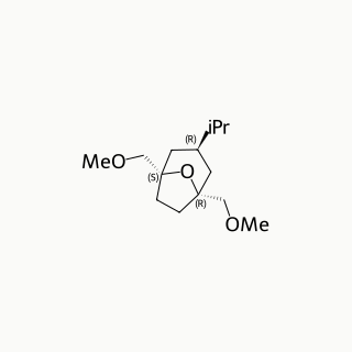 COC[C@@]12CC[C@@](COC)(C[C@@H](C(C)C)C1)O2